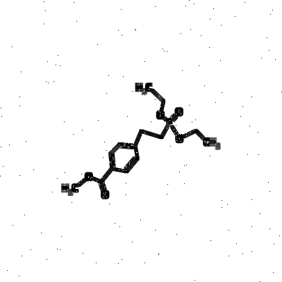 CCOP(=O)(CCc1ccc(C(=O)OC)cc1)OCC